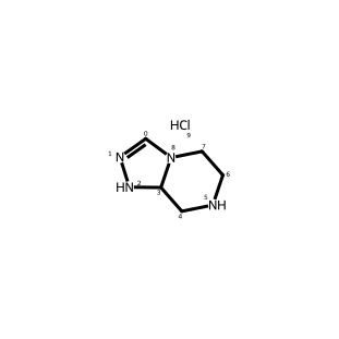 C1=NNC2CNCCN12.Cl